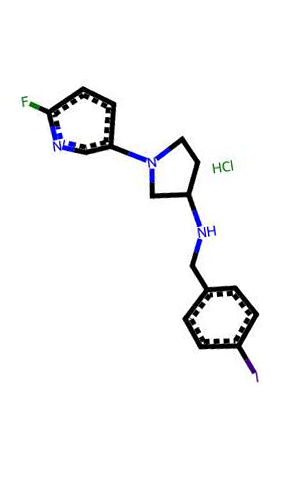 Cl.Fc1ccc(N2CCC(NCc3ccc(I)cc3)C2)cn1